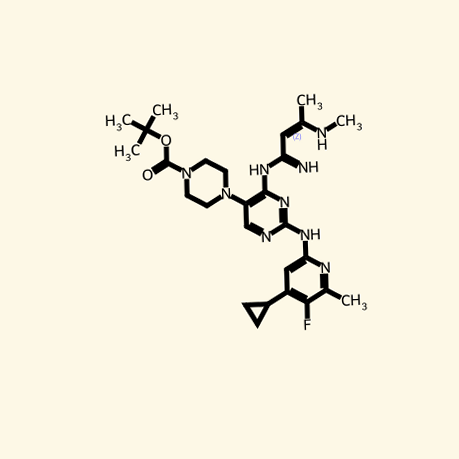 CN/C(C)=C\C(=N)Nc1nc(Nc2cc(C3CC3)c(F)c(C)n2)ncc1N1CCN(C(=O)OC(C)(C)C)CC1